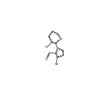 O=Cc1c(Br)ccn1-c1ncccc1Cl